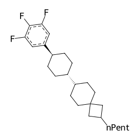 CCCCCC1CC2(CCC([C@H]3CC[C@H](c4cc(F)c(F)c(F)c4)CC3)CC2)C1